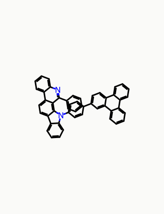 c1ccc(-c2nc3ccccc3c3ccc4c5ccccc5n(-c5ccc(-c6ccc7c8ccccc8c8ccccc8c7c6)cc5)c4c23)cc1